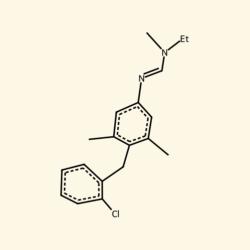 CCN(C)C=Nc1cc(C)c(Cc2ccccc2Cl)c(C)c1